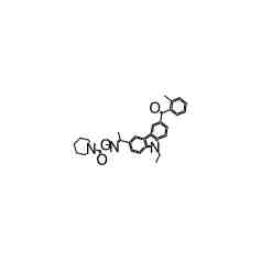 CCn1c2ccc(C(=O)c3ccccc3C)cc2c2cc(/C(C)=N/OC(=O)N3CCCCC3)ccc21